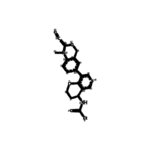 CCC(=O)NC1CCOc2c(-c3ccc4c(c3)COC(=C=O)N4C)cncc21